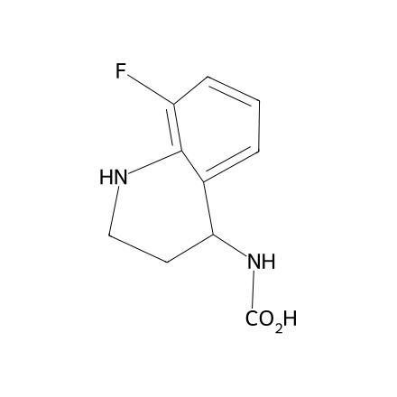 O=C(O)NC1CCNc2c(F)cccc21